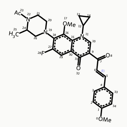 COc1ccc(/C=C/C(=O)c2cn(C3CC3)c3c(OC)c(N4CCN(C(C)=O)C(C)C4)c(F)cc3c2=O)cc1